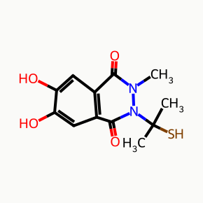 Cn1c(=O)c2cc(O)c(O)cc2c(=O)n1C(C)(C)S